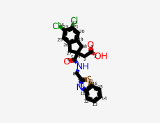 O=C(O)CC1(C(=O)NCc2nc3ccccc3s2)Cc2cc(Cl)c(Cl)cc2C1